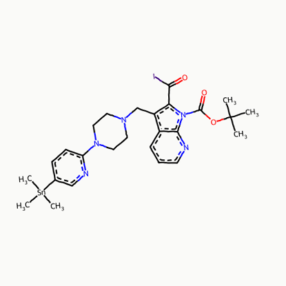 CC(C)(C)OC(=O)n1c(C(=O)I)c(CN2CCN(c3cc[c]([Sn]([CH3])([CH3])[CH3])cn3)CC2)c2cccnc21